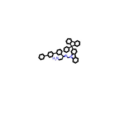 N/C=C\C(=N/Cn1c2ccccc2c2ccc(C3(c4ccccc4)c4ccccc4-c4ccccc43)cc21)c1cccc(-c2ccc(-c3ccccc3)cc2)c1